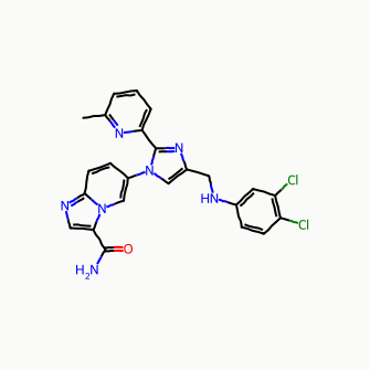 Cc1cccc(-c2nc(CNc3ccc(Cl)c(Cl)c3)cn2-c2ccc3ncc(C(N)=O)n3c2)n1